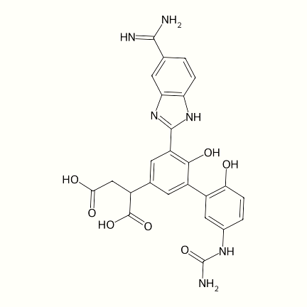 N=C(N)c1ccc2[nH]c(-c3cc(C(CC(=O)O)C(=O)O)cc(-c4cc(NC(N)=O)ccc4O)c3O)nc2c1